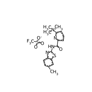 Cc1ccc2nc(NC(=O)c3cccc([N+](C)(C)C)n3)sc2c1.O=S(=O)([O-])C(F)(F)F